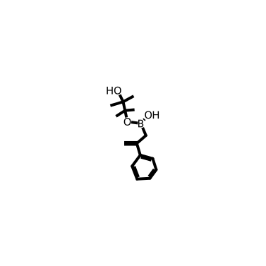 C=C(CB(O)OC(C)(C)C(C)(C)O)c1ccccc1